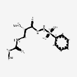 CO[C@@H](CNC(=O)OC(C)(C)C)C(=O)ONS(=O)(=O)c1ccccc1